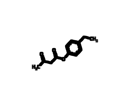 CCc1ccc(OC(=O)CC(C)=O)cc1